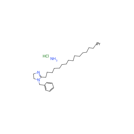 CC(C)CCCCCCCCCCCCCCCC1=NCCN1Cc1ccccc1.Cl.N